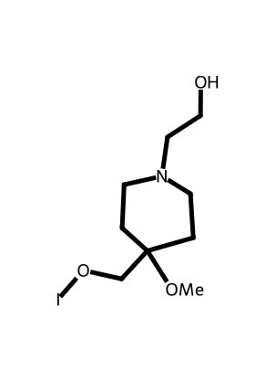 COC1(COI)CCN(CCO)CC1